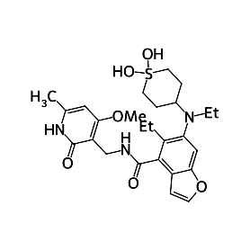 CCc1c(N(CC)C2CCS(O)(O)CC2)cc2occc2c1C(=O)NCc1c(OC)cc(C)[nH]c1=O